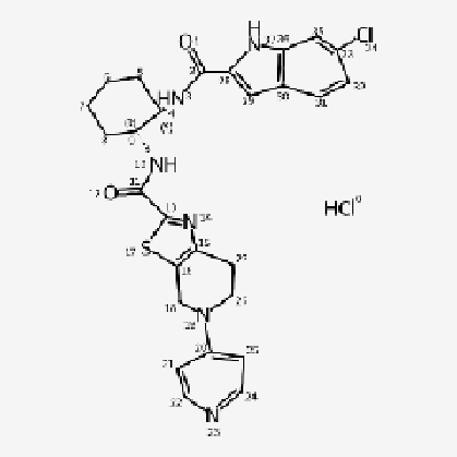 Cl.O=C(N[C@H]1CCCC[C@H]1NC(=O)c1nc2c(s1)CN(c1ccncc1)CC2)c1cc2ccc(Cl)cc2[nH]1